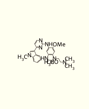 COc1cc(N(C)CCN(C)C)c(NC=O)cc1Nc1nccc(-c2cn(C)c3ccccc23)n1